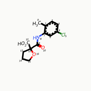 Cc1ccc(Cl)cc1NC(=O)C1(C(=O)O)CCCO1